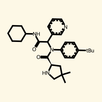 CC1(C)CN[C@@H](C(=O)N(c2ccc(C(C)(C)C)cc2)C(C(=O)NC2CCCCC2)c2cccnc2)C1